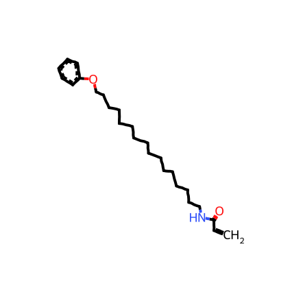 C=CC(=O)NCCCCCCCCCCCCCCCCOc1ccccc1